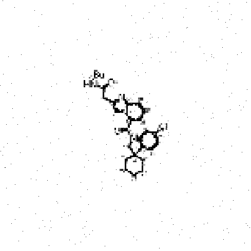 CCC(C)NC(=O)Cc1cn2c(C(=O)NCC3(c4ccc(Cl)cc4)CCCCC3)cccc2n1